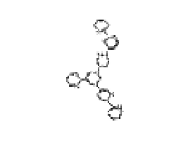 c1ccc(-c2cc(-c3ccc(-c4ccccn4)nc3)cc(-c3ccc(-c4cccc(-c5ccccn5)n4)nc3)c2)nc1